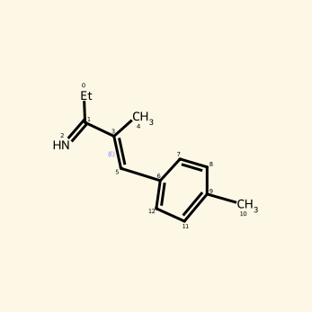 CCC(=N)/C(C)=C/c1ccc(C)cc1